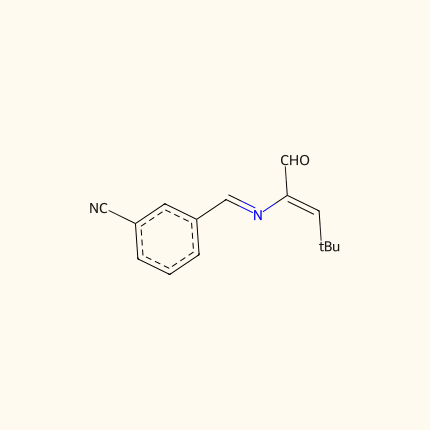 CC(C)(C)/C=C(C=O)\N=C\c1cccc(C#N)c1